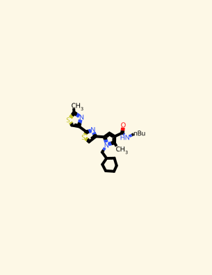 CCCCNC(=O)c1cc(-c2csc(-c3csc(C)n3)n2)n(CC2CCCCC2)c1C